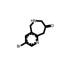 O=C1CNCc2cc(Br)cnc2C1